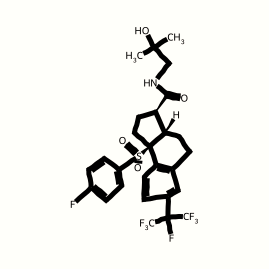 CC(C)(O)CNC(=O)[C@@H]1CC[C@@]2(S(=O)(=O)c3ccc(F)cc3)c3ccc(C(F)(C(F)(F)F)C(F)(F)F)cc3CC[C@@H]12